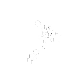 Cc1c(N2CCN(Cc3cccc(OC(F)(F)F)c3)CC2)c(=O)n(C[C@H](N)c2ccccc2)c(=O)n1C